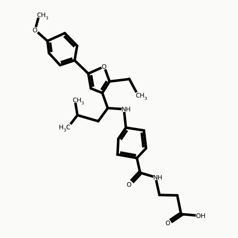 CCc1oc(-c2ccc(OC)cc2)cc1C(CC(C)C)Nc1ccc(C(=O)NCCC(=O)O)cc1